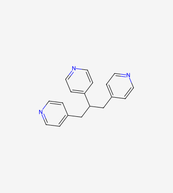 c1cc(CC(Cc2ccncc2)c2ccncc2)ccn1